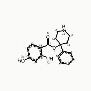 O=C(OC1(c2ccccc2)CCNCC1)c1ccc(O)cc1O